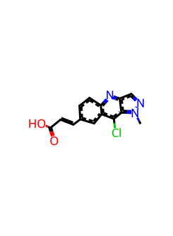 Cn1ncc2nc3ccc(/C=C/C(=O)O)cc3c(Cl)c21